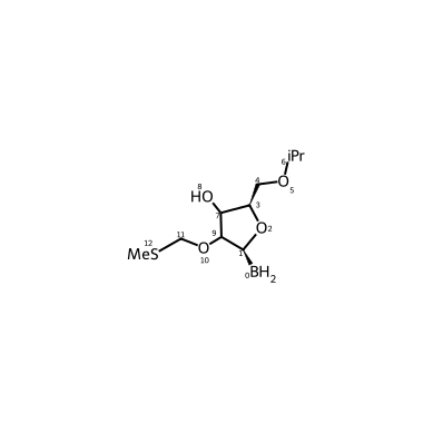 B[C@@H]1O[C@H](COC(C)C)C(O)C1OCSC